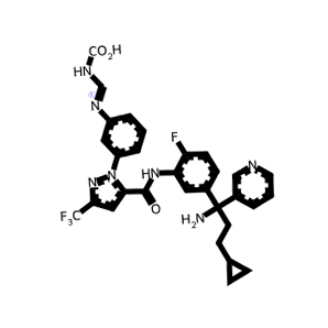 NC(CCC1CC1)(c1cccnc1)c1ccc(F)c(NC(=O)c2cc(C(F)(F)F)nn2-c2cccc(/N=C/NC(=O)O)c2)c1